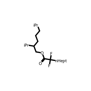 CCCCCCCC(F)(F)C(=O)OCC(CCCC(C)C)C(C)C